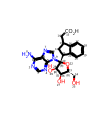 Nc1ncnc2c1ncn2[C@]1(C2CC(CC(=O)O)c3ccccc32)O[C@H](CO)[C@@H](O)[C@H]1O